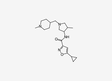 CC1CN(CC2CCN(C)CC2)CC1NC(=O)c1cc(C2CC2)on1